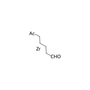 CC(=O)CCCCC=O.[Zr]